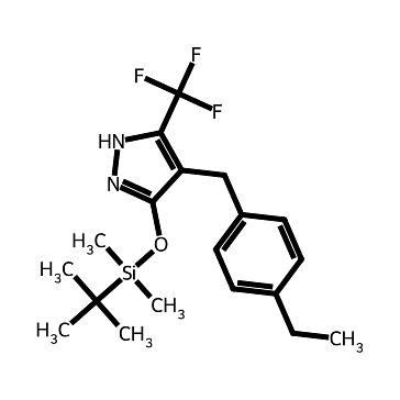 CCc1ccc(Cc2c(O[Si](C)(C)C(C)(C)C)n[nH]c2C(F)(F)F)cc1